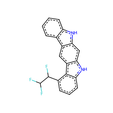 FC(F)C(F)c1cccc2[nH]c3cc4[nH]c5ccccc5c4cc3c12